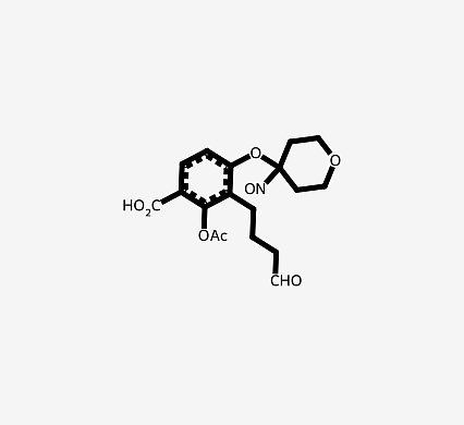 CC(=O)Oc1c(C(=O)O)ccc(OC2(N=O)CCOCC2)c1CCCC=O